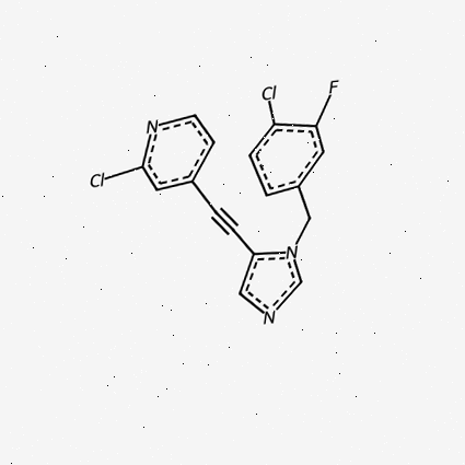 Fc1cc(Cn2cncc2C#Cc2ccnc(Cl)c2)ccc1Cl